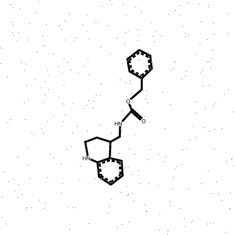 O=C(NCC1CCNc2ccccc21)OCc1ccccc1